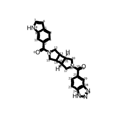 O=C(c1ccc2cc[nH]c2c1)N1CC2C(C1)[C@@H]1CN(C(=O)c3ccc4[nH]nnc4c3)C[C@H]21